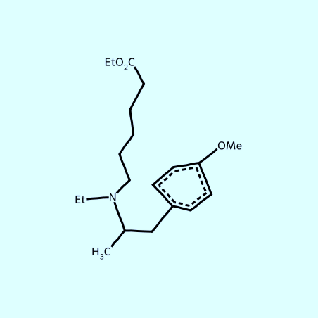 CCOC(=O)CCCCCN(CC)C(C)Cc1ccc(OC)cc1